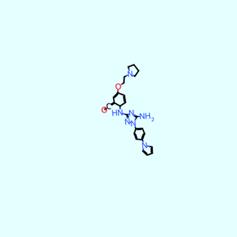 Nc1nc(NC2C=CC(OCCN3CCCC3)=CC2=C=O)nn1-c1ccc(-n2cccc2)cc1